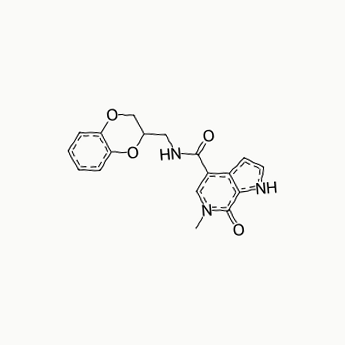 Cn1cc(C(=O)NCC2COc3ccccc3O2)c2cc[nH]c2c1=O